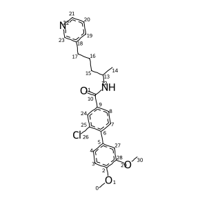 COc1ccc(-c2ccc(C(=O)NC(C)CCCc3cccnc3)cc2Cl)cc1OC